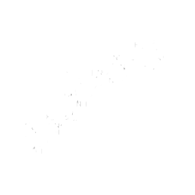 CCc1cc(Nc2nccn3c(-c4ccc(OC)c(F)c4F)cnc23)ccc1C(=O)NC12CC(NC(=O)[C@@H]3C[C@@H](O)CN3C)(C1)C2